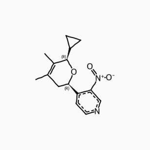 CC1=C(C)[C@@H](C2CC2)O[C@@H](c2ccncc2[N+](=O)[O-])C1